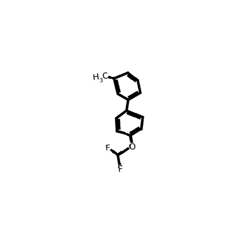 Cc1cccc(-c2ccc(OC(F)F)cc2)c1